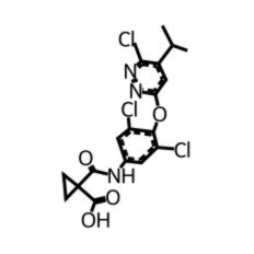 CC(C)c1cc(Oc2c(Cl)cc(NC(=O)C3(C(=O)O)CC3)cc2Cl)nnc1Cl